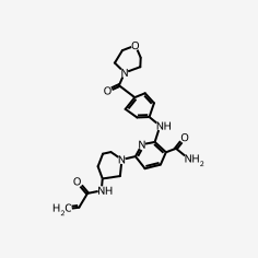 C=CC(=O)NC1CCCN(c2ccc(C(N)=O)c(Nc3ccc(C(=O)N4CCOCC4)cc3)n2)C1